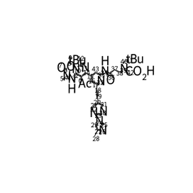 CC(=O)c1c(NN(C)C(=O)OC(C)(C)C)nc(C)nc1-c1cc(C#Cc2cnc(-n3cnc(C)c3)nc2)nc(NC(=O)CCN(CC(C)(C)C)C(=O)O)c1